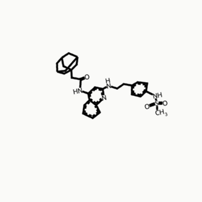 CS(=O)(=O)Nc1ccc(CCNc2cc(NC(=O)CC34CC5CC(CC(C5)C3)C4)c3ccccc3n2)cc1